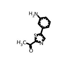 CC(=O)c1ncc(-c2cccc(N)c2)s1